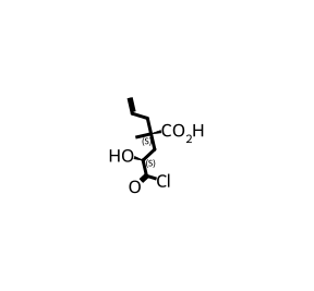 C=CC[C@@](C)(C[C@H](O)C(=O)Cl)C(=O)O